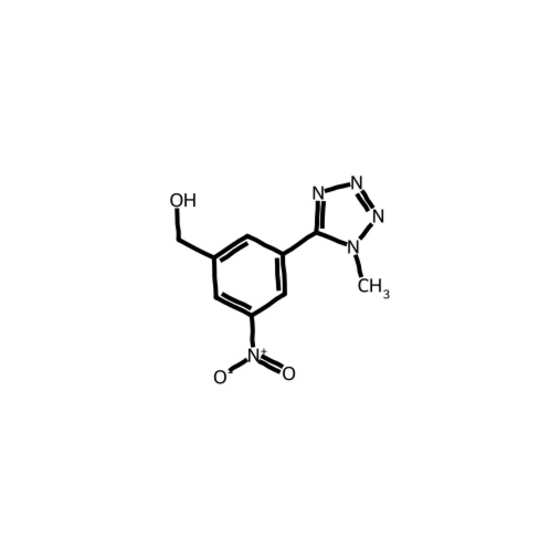 Cn1nnnc1-c1cc(CO)cc([N+](=O)[O-])c1